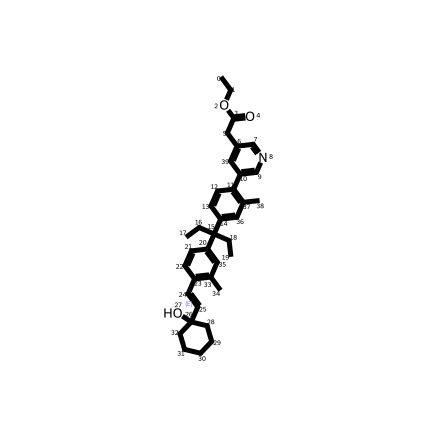 CCOC(=O)Cc1cncc(-c2ccc(C(CC)(CC)c3ccc(/C=C/C4(O)CCCCC4)c(C)c3)cc2C)c1